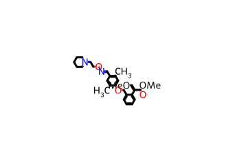 CO/C=C(/C(=O)OC)c1ccccc1COc1cc(C)c(/C=N/OCCN2CCCCC2)cc1C